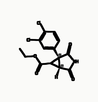 CCOC(=O)C1[C@@H]2C(=O)NC(=O)[C@]12c1ccc(Cl)c(Cl)c1